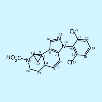 O=C(O)N1CCC(/C=C\c2c(C3CC3)cnn2-c2c(Cl)cccc2Cl)CC1